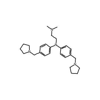 CN(C)CCN(c1ccc(CN2CCCC2)cc1)c1ccc(CN2CCCC2)cc1